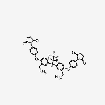 CCc1cc(C(F)(c2ccc(Oc3ccc(N4C(=O)C=CC4=O)cc3)c(CC)c2)C(F)(F)C(F)(F)F)ccc1Oc1ccc(N2C(=O)C=CC2=O)cc1